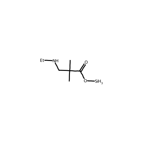 CCNCC(C)(C)C(=O)O[SiH3]